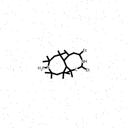 CCC1CC(C)C2C(C(C)(C)CC(CC)N1)C(C)(C)CC(C)(C)N(P)C(C)(C)CC2(C)C